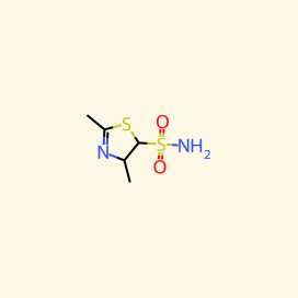 CC1=NC(C)C(S(N)(=O)=O)S1